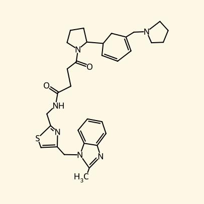 Cc1nc2ccccc2n1Cc1csc(CNC(=O)CCC(=O)N2CCCC2C2C=CC=C(CN3CCCC3)C2)n1